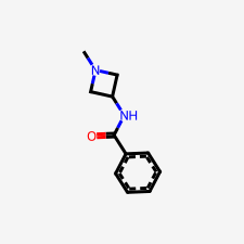 CN1CC(NC(=O)c2ccccc2)C1